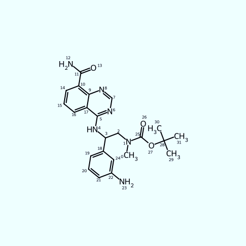 CN(CC(Nc1ncnc2c(C(N)=O)cccc12)c1cccc(N)c1)C(=O)OC(C)(C)C